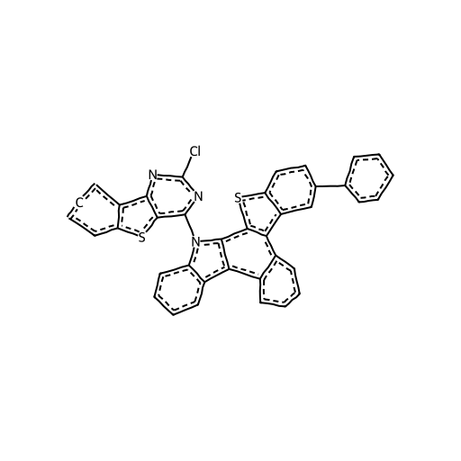 Clc1nc(-n2c3ccccc3c3c4ccccc4c4c5cc(-c6ccccc6)ccc5sc4c32)c2sc3ccccc3c2n1